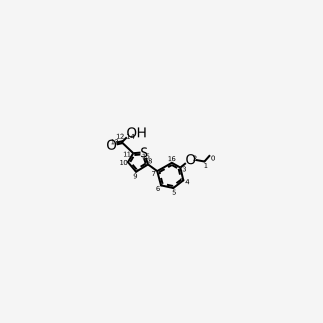 CCOc1cccc(-c2ccc(C(=O)O)s2)c1